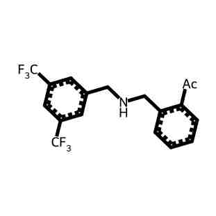 CC(=O)c1ccccc1CNCc1cc(C(F)(F)F)cc(C(F)(F)F)c1